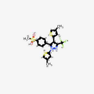 Cc1csc(-c2c(C(F)(F)F)nn(-c3cc(C)cs3)c2-c2ccc(S(C)(=O)=O)cc2)c1